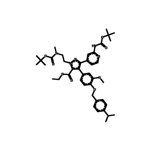 CCOC(=O)c1c(-c2ccc(OCc3ccc(C(C)C)cc3)c(OC)c2)c(-c2ccnc(NC(=O)OC(C)(C)C)c2)nn1CCN(C)C(=O)OC(C)(C)C